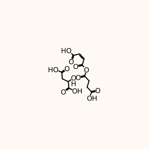 O=C(O)/C=C\C(=O)OC(=O)CCC(=O)O.O=C(O)CC(O)C(=O)O